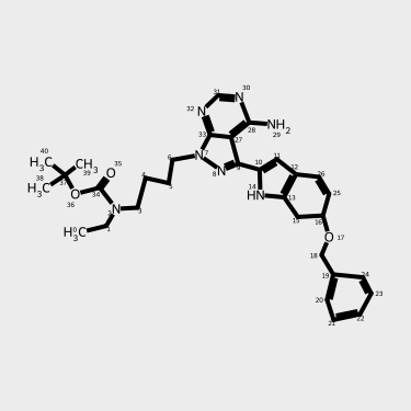 CCN(CCCCn1nc(-c2cc3c([nH]2)CC(OCc2ccccc2)C=C3)c2c(N)ncnc21)C(=O)OC(C)(C)C